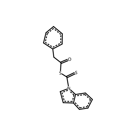 O=C(Cc1ccccc1)SC(=S)n1ccc2ccccc21